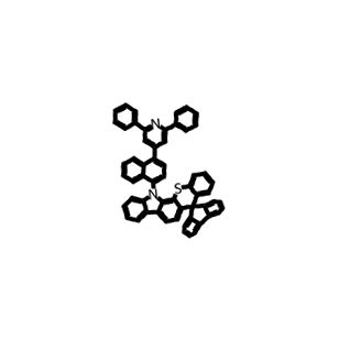 c1ccc(-c2cc(-c3ccc(-n4c5ccccc5c5ccc6c(c54)Sc4ccccc4C64c5ccccc5-c5ccccc54)c4ccccc34)cc(-c3ccccc3)n2)cc1